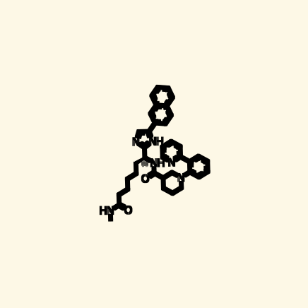 CNC(=O)CCCCC[C@H](NC(=O)C1CCCN(c2ccccc2-c2ccccn2)C1)c1ncc(-c2ccc3ccccc3c2)[nH]1